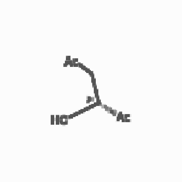 CC(=O)C[C@@H](O)C(C)=O